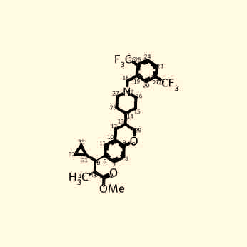 COC(=O)[C@@H](C)[C@H](c1ccc2c(c1)CC(C1CCN(Cc3cc(C(F)(F)F)ccc3C(F)(F)F)CC1)CO2)C1CC1